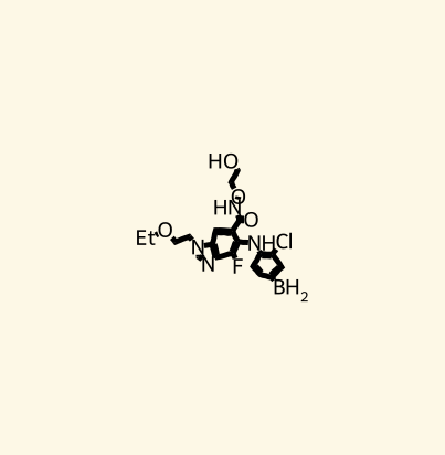 Bc1ccc(Nc2c(C(=O)NOCCO)cc3c(ncn3CCOCC)c2F)c(Cl)c1